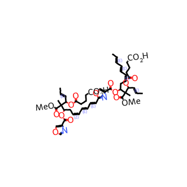 C/C=C/C=C/C=C\CC(OC(=O)c1coc(/C=C/C=C/C=C\CC(OC(=O)c2cocn2)C(C)(C(=O)OC)C(/C=C/C)OC(=O)CCCC(=O)O)n1)C(C)(C(=O)OC)C(/C=C/C)OC(=O)CCCC(=O)O